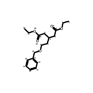 CCOC(=O)CC(CCOCc1ccccc1)CC(=O)OCC